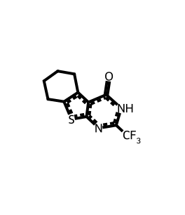 O=c1[nH]c(C(F)(F)F)nc2sc3c(c12)CCCC3